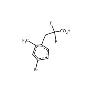 O=C(O)C(F)(F)Cc1ccc(Br)cc1C(F)(F)F